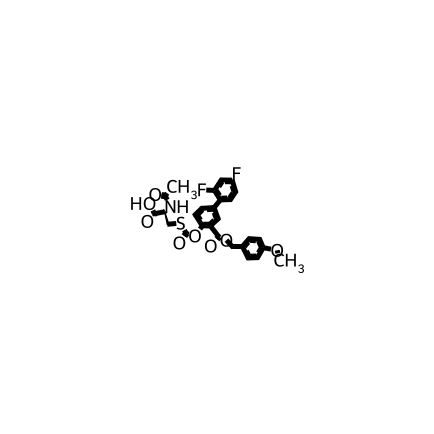 COc1ccc(COC(=O)c2cc(-c3ccc(F)cc3F)ccc2OC(=O)SC[C@H](NC(C)=O)C(=O)O)cc1